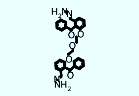 NN=Cc1cccc(OCCOCCOc2cccc(C=NN)c2C(=O)c2ccccc2)c1C(=O)c1ccccc1